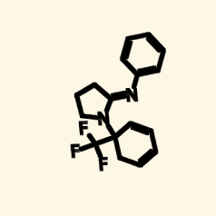 FC(F)(F)C1(N2CCCC2=Nc2ccccc2)C=CC=CC1